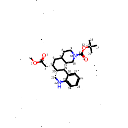 COC(=O)C[C@H](CC1CCN(C(=O)OC(C)(C)C)CC1)[C@H]1CNc2ccccc2C1